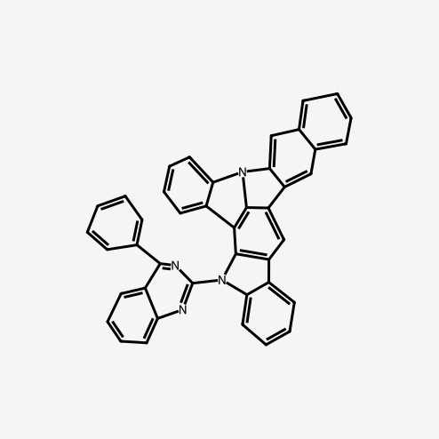 c1ccc(-c2nc(-n3c4ccccc4c4cc5c6cc7ccccc7cc6n6c7ccccc7c(c43)c56)nc3ccccc23)cc1